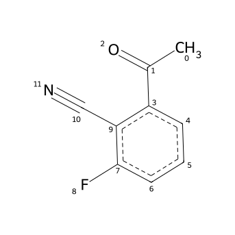 CC(=O)c1cccc(F)c1C#N